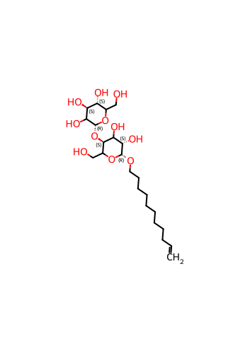 C=CCCCCCCCCCO[C@@H]1OC(CO)[C@@H](O[C@H]2OC(CO)[C@@H](O)[C@H](O)C2O)C(O)[C@@H]1O